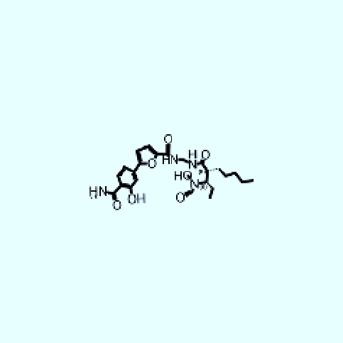 [CH2]NC(=O)c1ccc(-c2ccc(C(=O)NCNC(=O)[C@H](CCCCC)[C@@H](CC)N(O)C=O)o2)cc1O